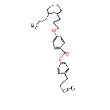 CCCc1ccc(OC(=O)c2ccc(OCCCC3CCCCC3CCC)cc2)cc1